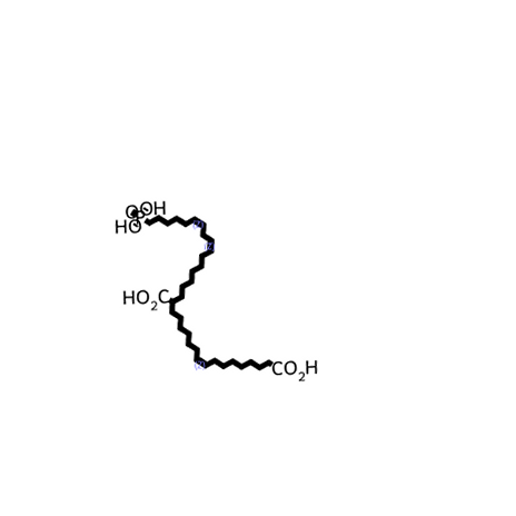 O=C(O)CCCCCCC/C=C\CCCCCCC(CCCCCC/C=C\C/C=C\CCCCCP(=O)(O)O)C(=O)O